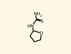 NC(=S)NC1CCCO1